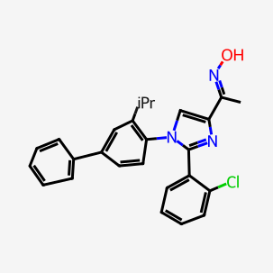 CC(=NO)c1cn(-c2ccc(-c3ccccc3)cc2C(C)C)c(-c2ccccc2Cl)n1